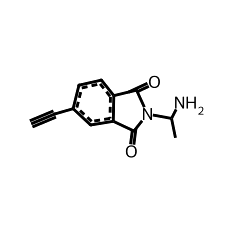 C#Cc1ccc2c(c1)C(=O)N(C(C)N)C2=O